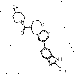 Cc1nc2ccc(-c3ccc4c(c3)CN(C(=O)N3CCC(O)CC3)CCO4)cc2[nH]1